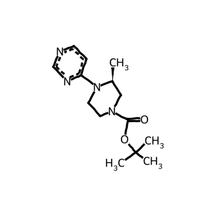 C[C@H]1CN(C(=O)OC(C)(C)C)CCN1c1ccncn1